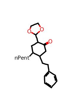 CCCCCC1CC(C2OCCO2)C(=O)CC1CCc1ccccc1